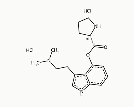 CN(C)CCc1c[nH]c2cccc(OC(=O)[C@@H]3CCCN3)c12.Cl.Cl